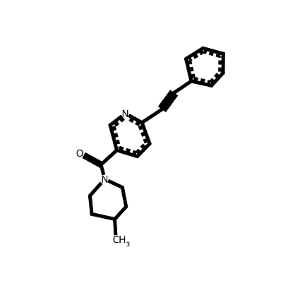 CC1CCN(C(=O)c2ccc(C#Cc3ccccc3)nc2)CC1